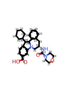 O=C(O)c1ccc2c(c1)N1C[C@@H](NC(=O)N3CCOCC3)Cc3ccccc3C1C2C1CCCCC1